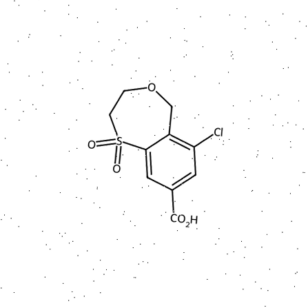 O=C(O)c1cc(Cl)c2c(c1)S(=O)(=O)CCOC2